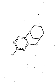 Clc1ncc2c(n1)NC1CCCN2C1